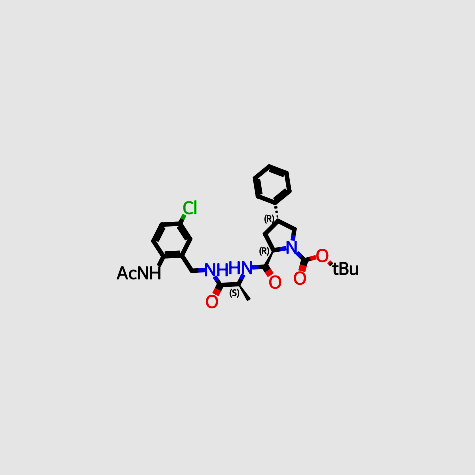 CC(=O)Nc1ccc(Cl)cc1CNC(=O)[C@H](C)NC(=O)[C@H]1C[C@H](c2ccccc2)CN1C(=O)OC(C)(C)C